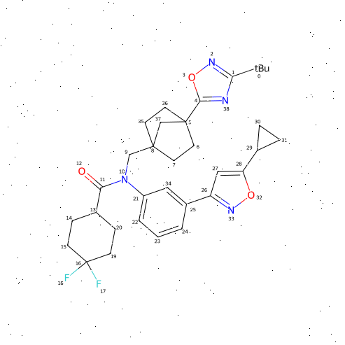 CC(C)(C)c1noc(C23CCC(CN(C(=O)C4CCC(F)(F)CC4)c4cccc(-c5cc(C6CC6)on5)c4)(CC2)C3)n1